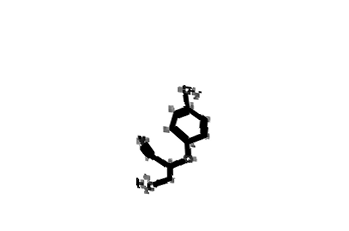 [CH2]c1ccc(OC(C#N)CC)cc1